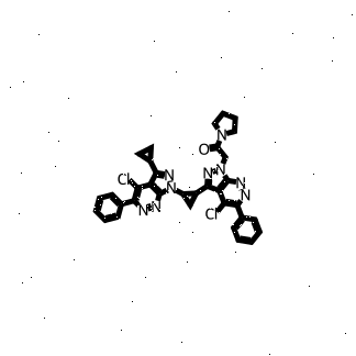 O=C(Cn1nc(C2CC2n2nc(C3CC3)c3c(Cl)c(-c4ccccc4)nnc32)c2c(Cl)c(-c3ccccc3)nnc21)N1CCCC1